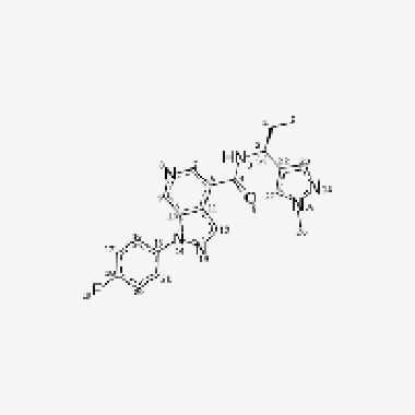 CC[C@H](NC(=O)c1cncc2c1cnn2-c1ccc(F)cc1)c1cnn(C)c1